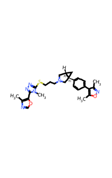 Cc1ncoc1-c1nnc(SCCCN2C[C@@H]3C[C@]3(c3ccc(-c4c(C)noc4C)cc3)C2)n1C